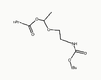 CCCC(=O)OC(C)OCCNC(=O)OC(C)(C)C